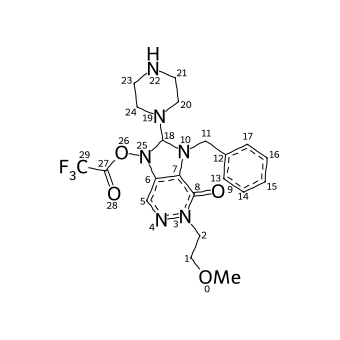 COCCn1ncc2c(c1=O)N(Cc1ccccc1)C(N1CCNCC1)N2OC(=O)C(F)(F)F